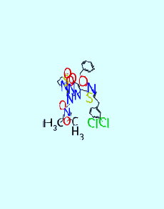 CC1CN(C(=O)Cn2cc(N3CCCS3(=O)=O)n3c(=O)c(OCc4ccccc4)c(-c4ncc(Cc5ccc(Cl)c(Cl)c5)s4)nc23)CC(C)O1